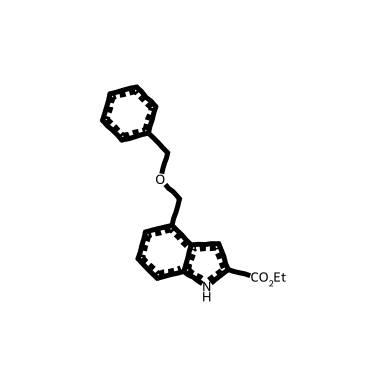 CCOC(=O)c1cc2c(COCc3ccccc3)cccc2[nH]1